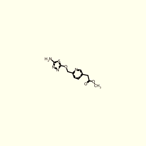 COC(=O)Cc1ccc(COc2nnc(N)s2)nc1